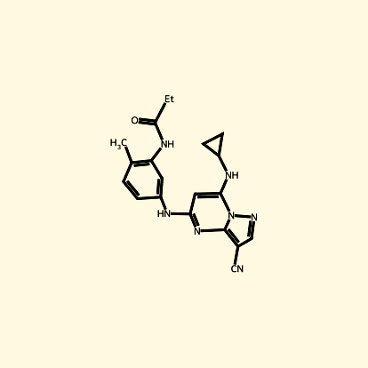 CCC(=O)Nc1cc(Nc2cc(NC3CC3)n3ncc(C#N)c3n2)ccc1C